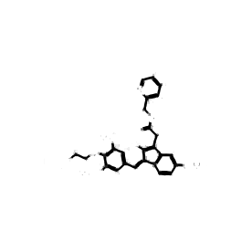 COc1ccc2c(c1)C(CC(=O)NCc1ccccn1)=C(C)C2=Cc1cc(OC)c(OCCC(=O)O)c(OC)c1